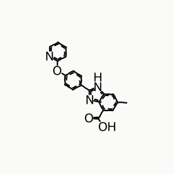 Cc1cc(C(=O)O)c2nc(-c3ccc(Oc4ccccn4)cc3)[nH]c2c1